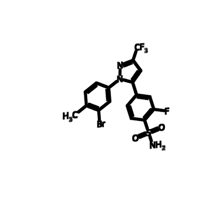 Cc1ccc(-n2nc(C(F)(F)F)cc2-c2ccc(S(N)(=O)=O)c(F)c2)cc1Br